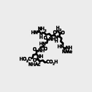 CNC(=N)NCCCC(NC(=O)C(CCCNC(=N)N)NC(=O)CNC(=O)CNC(=O)C(CCC(=O)O)NC(=O)C(CCC(=O)O)NC(C)=O)C(N)=O